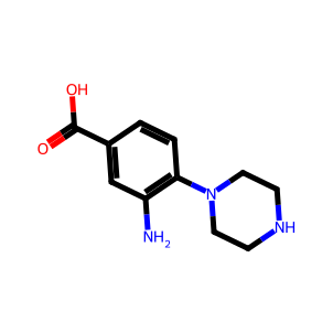 Nc1cc(C(=O)O)ccc1N1CCNCC1